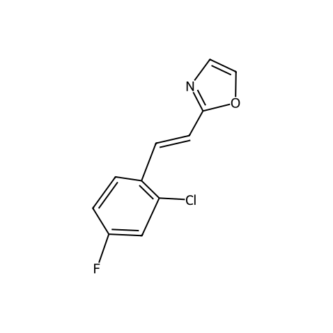 Fc1ccc(C=Cc2ncco2)c(Cl)c1